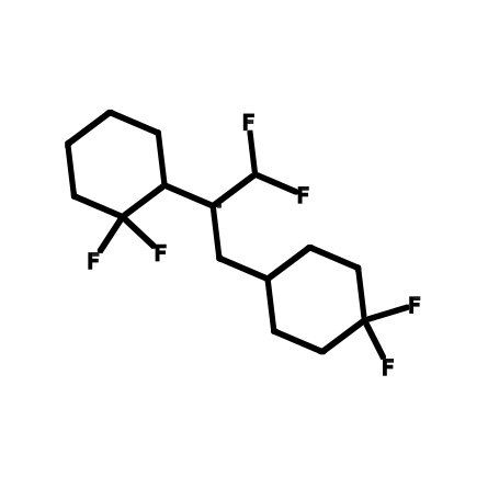 FC(F)[C](CC1CCC(F)(F)CC1)C1CCCCC1(F)F